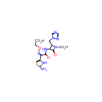 NC1NC(/C(=N/OCC(=O)O)C(=O)NC2C(=O)N(S(=O)(=O)O)C2Cn2cncn2)=CS1